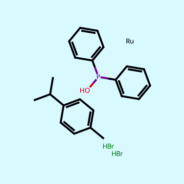 Br.Br.Cc1ccc(C(C)C)cc1.OP(c1ccccc1)c1ccccc1.[Ru]